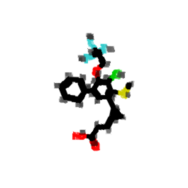 CSc1c(C2CC2CCC(=O)O)cc(-c2ccccc2)c(OCC(F)(F)F)c1Cl